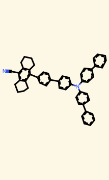 N#Cc1c2c(c(-c3ccc(-c4ccc(N(c5ccc(-c6ccccc6)cc5)c5ccc(-c6ccccc6)cc5)cc4)cc3)c3c1CCCC3)CCCC2